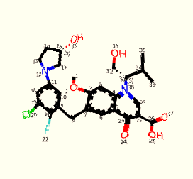 COc1cc2c(cc1Cc1cc(N3CC[C@H](O)C3)cc(Cl)c1F)c(=O)c(C(=O)O)cn2[C@H](CO)C(C)C